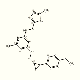 CCc1ccc(C2C[C@@H]2COc2cc(NCc3nnc(C)s3)nc(C)n2)nc1